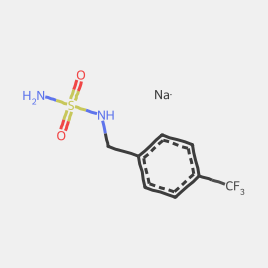 NS(=O)(=O)NCc1ccc(C(F)(F)F)cc1.[Na]